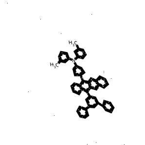 Cc1cccc(N(c2ccc(-c3c4ccccc4c(-c4cc(-c5ccccc5)cc(-c5ccccc5)c4)c4cc5ccccc5cc34)cc2)c2cccc(C)c2)c1